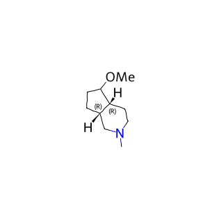 COC1CC[C@H]2CN(C)CC[C@@H]12